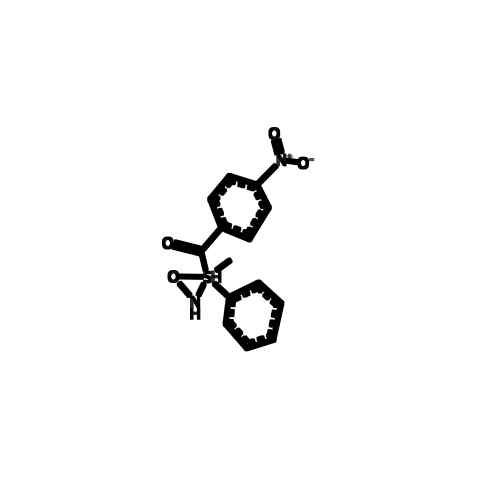 C[SH]1(C(=O)c2ccc([N+](=O)[O-])cc2)(c2ccccc2)NO1